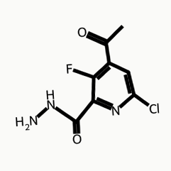 CC(=O)c1cc(Cl)nc(C(=O)NN)c1F